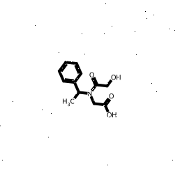 CC(c1ccccc1)N(CC(=O)O)C(=O)CO